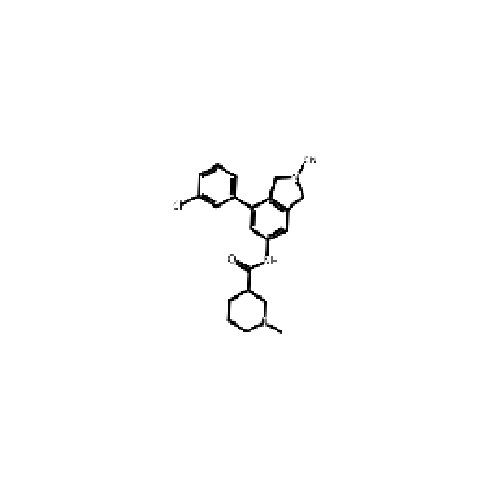 CN1CCCC(C(=O)Nc2cc3c(c(-c4cccc(Cl)c4)c2)CN(C#N)C3)C1